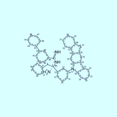 N=C(N[C@](N)(Cc1ccccc1)c1cccc(-n2c3ccccc3c3cc4sc5ccccc5c4cc32)c1)c1cccc(-c2ccccc2)c1